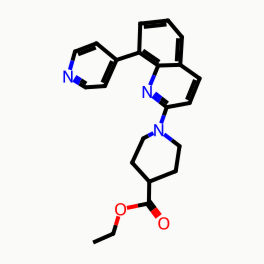 CCOC(=O)C1CCN(c2ccc3cccc(-c4ccncc4)c3n2)CC1